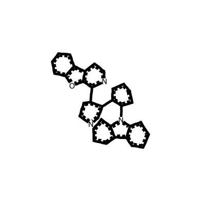 c1ccc(-n2c3ccccc3c3ccccc32)c(-c2cnccc2-c2nccc3c2oc2ccccc23)c1